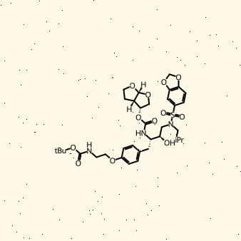 CC(C)CN(C[C@@H](O)[C@H](Cc1ccc(OCCNC(=O)OC(C)(C)C)cc1)NC(=O)O[C@H]1CO[C@H]2OCC[C@H]21)S(=O)(=O)c1ccc2c(c1)OCO2